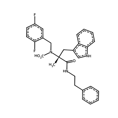 C[C@@](Cc1c[nH]c2ccccc12)(C(=O)NCCc1ccccc1)N(Cc1cc(F)ccc1F)C(=O)O